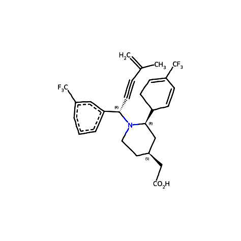 C=C(C)C#C[C@@H](c1cccc(C(F)(F)F)c1)N1CC[C@H](CC(=O)O)C[C@@H]1C1C=CC(C(F)(F)F)=CC1